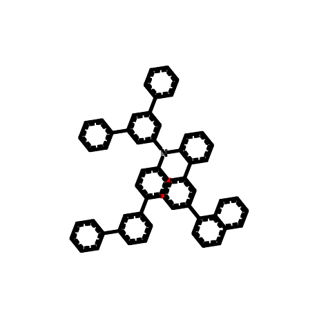 c1ccc(-c2cccc(-c3ccc(N(c4cc(-c5ccccc5)cc(-c5ccccc5)c4)c4ccccc4-c4cccc(-c5cccc6ccccc56)c4)cc3)c2)cc1